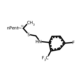 CCCCC[C@H](C)SCNc1ccc(F)cc1C(F)(F)F